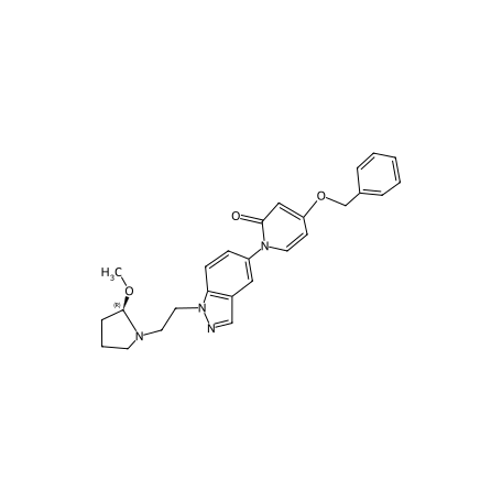 CO[C@@H]1CCCN1CCn1ncc2cc(-n3ccc(OCc4ccccc4)cc3=O)ccc21